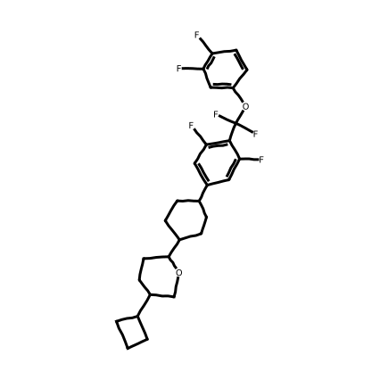 Fc1ccc(OC(F)(F)c2c(F)cc(C3CCC(C4CCC(C5CCC5)CO4)CC3)cc2F)cc1F